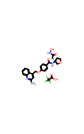 Cc1cc(COc2ccc(C(=O)N[C@@]3(CC(=O)NO)CCOC3)cc2)c2ccccc2n1.O=C(O)C(F)(F)F